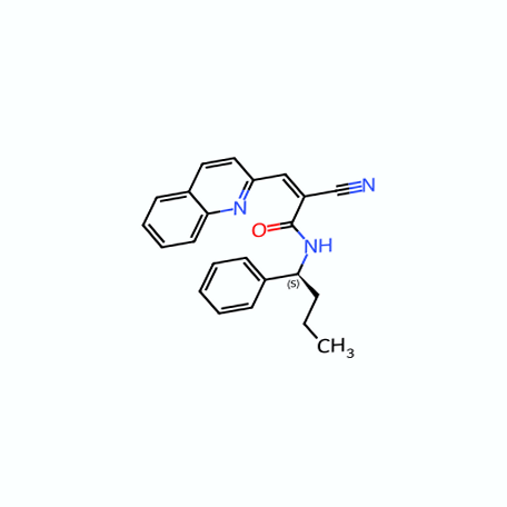 CCC[C@H](NC(=O)C(C#N)=Cc1ccc2ccccc2n1)c1ccccc1